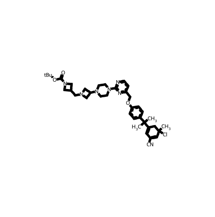 CC1(Cl)C=C(C#N)C=C(C(C)(C)c2ccc(OCc3ccnc(N4CCN(C5CN(CC6CN(C(=O)OC(C)(C)C)C6)C5)CC4)n3)cc2)C1